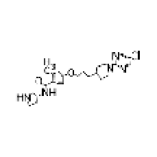 Cc1cc(OCCCC2CCN(c3ncc(Cl)cn3)CC2)ccc1C(=O)NC1CCNC1